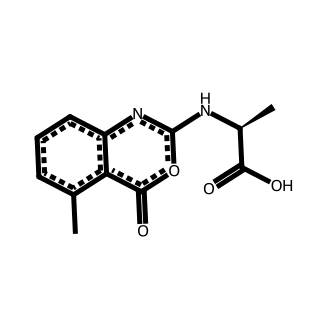 Cc1cccc2nc(N[C@@H](C)C(=O)O)oc(=O)c12